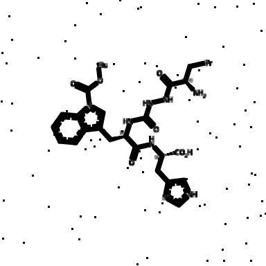 CC(C)C[C@@H](N)C(=O)NNC(=O)N[C@H](Cc1cn(C(=O)OC(C)(C)C)c2ccccc12)C(=O)N[C@@H](Cc1c[nH]cn1)C(=O)O